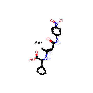 C/C(=C\C(=O)Nc1ccc([N+](=O)[O-])cc1)NC(C(=O)O)c1ccccc1.[NaH]